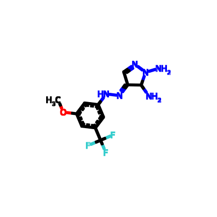 COc1cc(NN=C2C=NN(N)C2N)cc(C(F)(F)F)c1